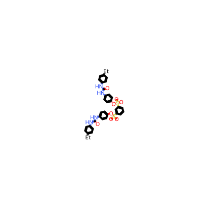 CCc1ccc(NC(=O)Nc2ccc(OS(=O)(=O)c3cccc(S(=O)(=O)Oc4ccc(NC(=O)Nc5ccc(CC)cc5)cc4)c3)cc2)cc1